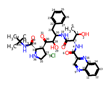 C[C@@H](O)[C@H](NC(=O)c1cnc2ccccc2n1)C(=O)NC(Cc1ccccc1)C(O)C(=O)[C@H]1[C@H](Cl)CN[C@@H]1C(=O)NC(C)(C)C